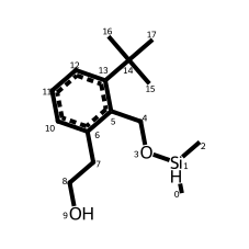 C[SiH](C)OCc1c(CCO)cccc1C(C)(C)C